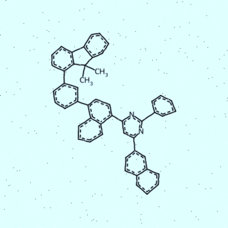 CC1(C)c2ccccc2-c2cccc(-c3cccc(-c4ccc(-c5cc(-c6ccc7ccccc7c6)nc(-c6ccccc6)n5)c5ccccc45)c3)c21